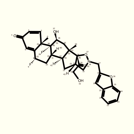 C[C@]12C=CC(=O)C=C1[C@@H](F)C[C@H]1[C@@H]3C[C@H]4CN(Cc5cc6ccccc6o5)O[C@@]4(C(=O)CO)[C@@]3(C)C[C@H](O)[C@@]12F